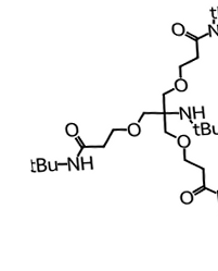 CC(C)(C)NC(=O)CCOCC(COCCC(=O)NC(C)(C)C)(COCCC(=O)NC(C)(C)C)NC(C)(C)C